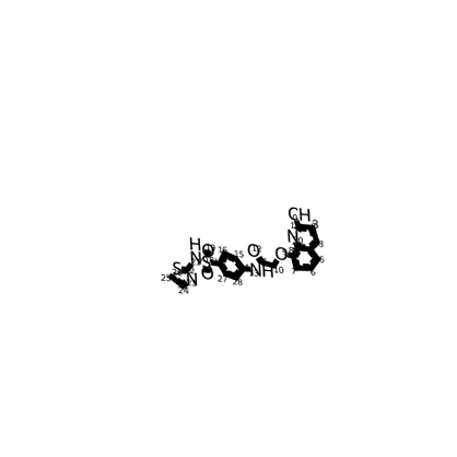 Cc1ccc2cccc(OCC(=O)Nc3ccc(S(=O)(=O)Nc4nccs4)cc3)c2n1